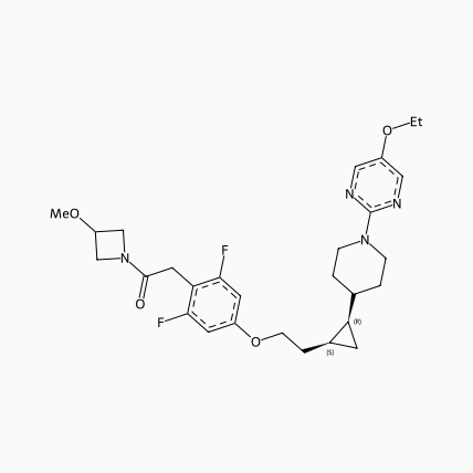 CCOc1cnc(N2CCC([C@H]3C[C@H]3CCOc3cc(F)c(CC(=O)N4CC(OC)C4)c(F)c3)CC2)nc1